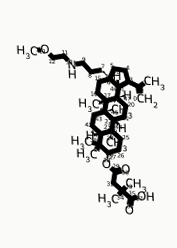 C=C(C)C1CC[C@]2(CCCNCCOC)CC[C@]3(C)[C@H](CC[C@@H]4[C@@]5(C)CC[C@H](OC(=O)CC(C)(C)C(=O)O)C(C)(C)[C@@H]5CC[C@]43C)[C@@H]12